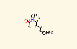 COCCCCN(C)C(=O)I